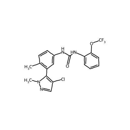 Cc1ccc(NC(=O)Nc2ccccc2OC(F)(F)F)cc1-c1c(Cl)cnn1C